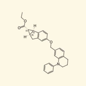 CCOC(=O)[C@H]1[C@@H]2Cc3cc(OCc4ccc5c(c4)N(c4ccccc4)CCC5)ccc3[C@@H]21